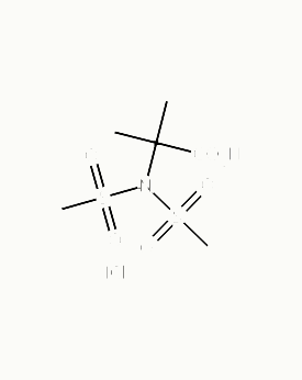 CC(C)(C(=O)O)N(S(C)(=O)=O)S(C)(=O)=O.Cl